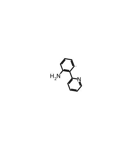 Nc1ccc[c]c1-c1ccccn1